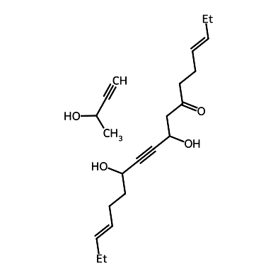 C#CC(C)O.CCC=CCCC(=O)CC(O)C#CC(O)CCC=CCC